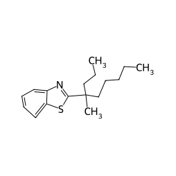 CCCCCC(C)(CCC)c1nc2ccccc2s1